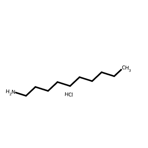 CCCCCCCCCCN.Cl